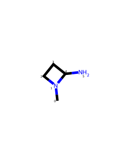 CN1CCC1N